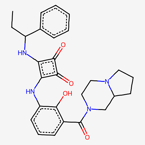 CCC(Nc1c(Nc2cccc(C(=O)N3CCN4CCCC4C3)c2O)c(=O)c1=O)c1ccccc1